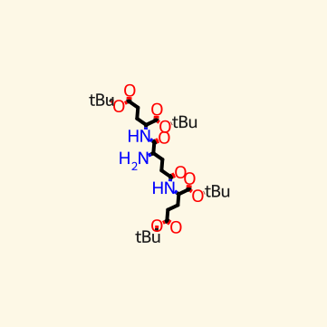 CC(C)(C)OC(=O)CCC(NC(=O)CCC(N)C(=O)NC(CCC(=O)OC(C)(C)C)C(=O)OC(C)(C)C)C(=O)OC(C)(C)C